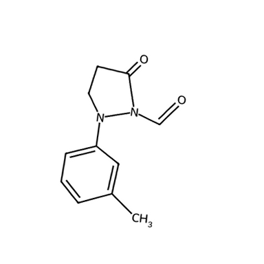 Cc1cccc(N2CCC(=O)N2C=O)c1